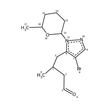 CC(CC=O)Cc1c(Br)cnn1C1CCCC(C)O1